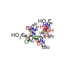 CC(C)Oc1cc(-n2nc(C(C)(C)C)oc2=O)c(Cl)cc1Cl.O=C(O)CNCP(=O)(O)O.O=C(O)CSc1cc(N=c2sc(=O)n3n2CCCC3)c(F)cc1Cl